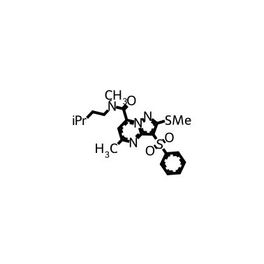 CSc1nn2c(C(=O)N(C)CCC(C)C)cc(C)nc2c1S(=O)(=O)c1ccccc1